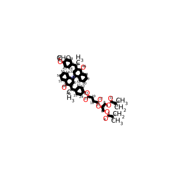 C=C(C)C(=O)OCC(COC(=O)C(=C)C)OC(=O)CCC(=O)Oc1ccc(C(C)C2=C/C(=C3/C=C(C(C)c4ccc(OC=O)cc4)C(=O)c4ccccc43)c3ccccc3C2=O)cc1